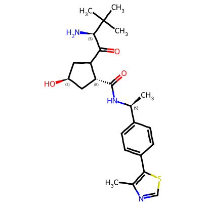 Cc1ncsc1-c1ccc([C@H](C)NC(=O)[C@@H]2C[C@@H](O)CC2C(=O)[C@@H](N)C(C)(C)C)cc1